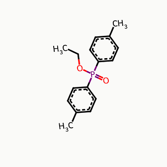 CCOP(=O)(c1ccc(C)cc1)c1ccc(C)cc1